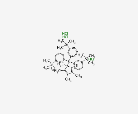 CC1=C(C)C(C)([Si](c2cccc([Si](C)(C)C)c2)(c2cccc([Si](C)(C)C)c2)c2cccc([Si](C)(C)C)c2)[C]([Ti])=C1C.Cl.Cl.Cl